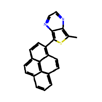 Cc1sc(-c2ccc3ccc4cccc5ccc2c3c45)c2nccnc12